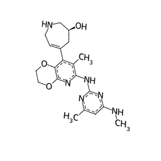 CNc1cc(C)nc(Nc2nc3c(c(C4=CCNC[C@@H](O)C4)c2C)OCCO3)n1